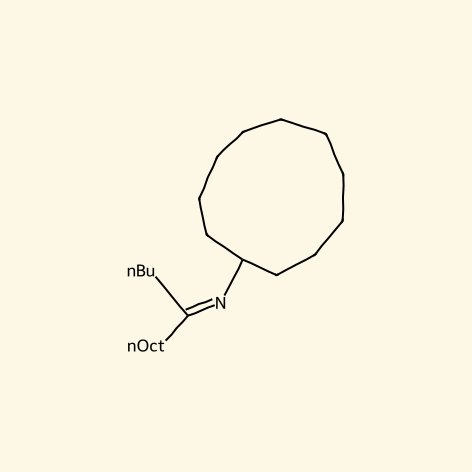 CCCCCCCCC(CCCC)=NC1CCCCCCCCCC1